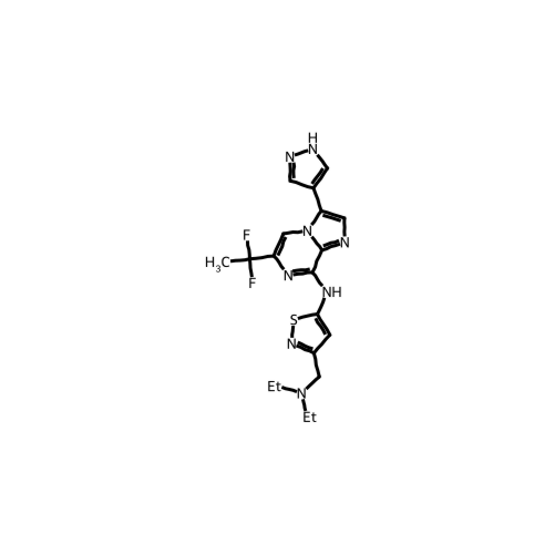 CCN(CC)Cc1cc(Nc2nc(C(C)(F)F)cn3c(-c4cn[nH]c4)cnc23)sn1